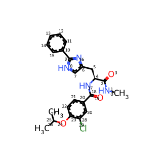 CNC(=O)[C@H](Cc1c[nH]c(-c2ccccc2)n1)NC(=O)c1ccc(OC(C)C)c(Cl)c1